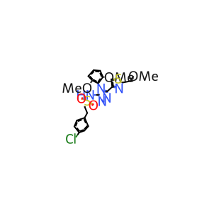 COCc1nc(-c2nnc(NS(=O)(=O)CCc3ccc(Cl)cc3)n2-c2c(OC)cccc2OC)cs1